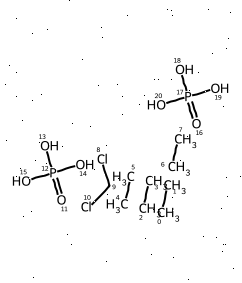 CC.CC.CC.CC.ClCCl.O=P(O)(O)O.O=P(O)(O)O